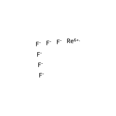 [F-].[F-].[F-].[F-].[F-].[F-].[Re+6]